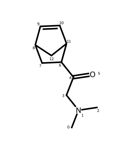 CN(C)CC(=O)C1CC2C=CC1C2